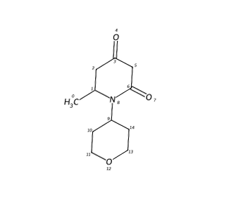 CC1CC(=O)CC(=O)N1C1CCOCC1